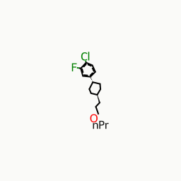 CCCOCCC[C@H]1CC[C@H](c2ccc(Cl)c(F)c2)CC1